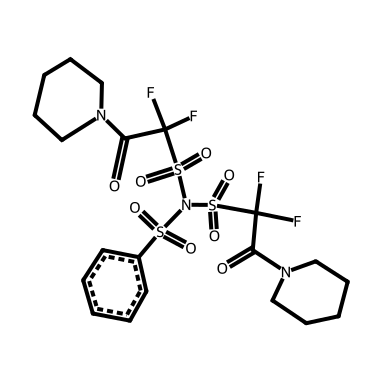 O=C(N1CCCCC1)C(F)(F)S(=O)(=O)N(S(=O)(=O)c1ccccc1)S(=O)(=O)C(F)(F)C(=O)N1CCCCC1